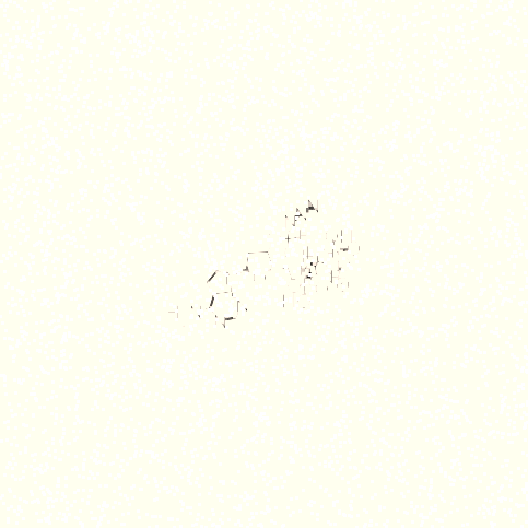 CC(F)(N=[N+]=[N-])OC1C[C@H](n2ccc3c(N)ncnc32)O[C@@H]1COP(=O)(O)OP(=O)(O)OP(=O)(O)O